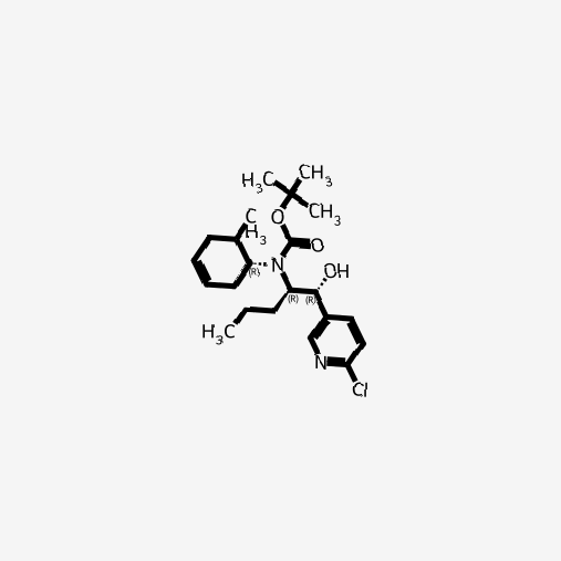 CCC[C@H]([C@H](O)c1ccc(Cl)nc1)N(C(=O)OC(C)(C)C)[C@@H]1CC=CCC1C